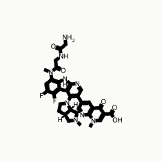 CN1C[C@@H]2CCN(c3c(-c4cnc5c(c4)c(=O)c(C(=O)O)cn5C)cnc4[nH]c5c(N(C)C(=O)CNC(=O)CN)cc(F)c(F)c5c34)[C@@H]2C1